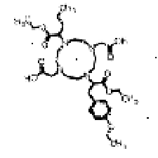 CCCC(C(=O)OCC)N1CCN(CC(=O)O)CCN(C(Cc2ccc(OCC)cc2)C(=O)OCC)CCN(CC(=O)O)CC1